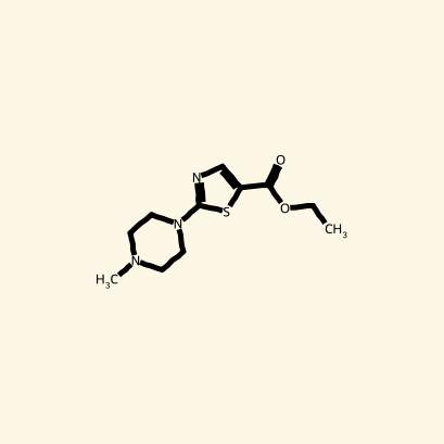 CCOC(=O)c1cnc(N2CCN(C)CC2)s1